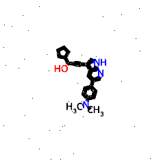 CN(C)c1ccc(-c2cnc3[nH]cc(C#CC(O)C4CCCC4)c3c2)cc1